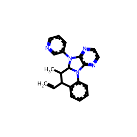 C=CC1c2ccccc2N2c3nccnc3N(c3cccnc3)C2C1C